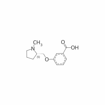 CN1CCC[C@H]1COc1cccc(C(=O)O)c1